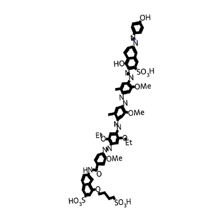 CCOc1cc(N=Nc2ccc(C(=O)Nc3ccc4cc(S(=O)(=O)O)cc(OCCCCS(=O)(=O)O)c4c3)cc2OC)c(OCC)cc1N=Nc1cc(OC)c(N=Nc2cc(OC)c(N=Nc3c(S(=O)(=O)O)cc4cc(/N=N/c5ccc(O)cc5)ccc4c3O)cc2C)cc1C